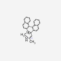 COc1ccc2ccccc2c1-c1c(C(=O)/C=C(/C)O)ccc2ccccc12